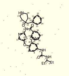 CCC(CC)NC(=O)Nc1ccc(Oc2cnc(N(OC3(Cc4ccccc4)CCNCC3)C(=O)c3ccccc3)s2)c(OC)c1